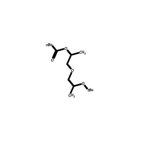 CCCCC(=O)OC(C)COCC(C)OC(C)(C)C